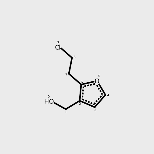 OCc1ccoc1CCCl